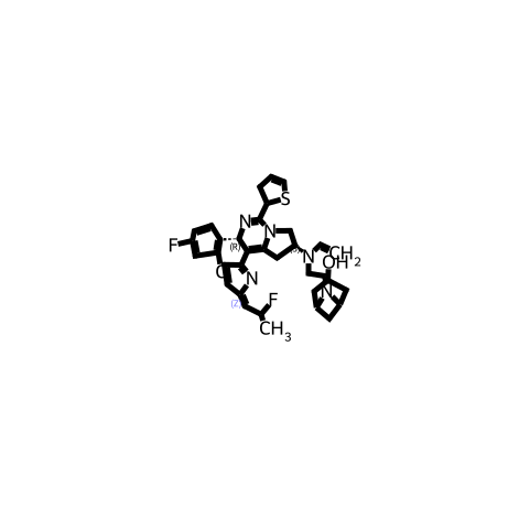 C=CN(CCN1C2CC(O)CC1C2)[C@H]1CC2=C(C3=N/C(=C\C(C)F)C=C3)[C@H](c3ccc(F)cc3Cl)N=C(C3CC=CS3)N2C1